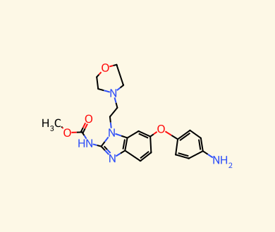 COC(=O)Nc1nc2ccc(Oc3ccc(N)cc3)cc2n1CCN1CCOCC1